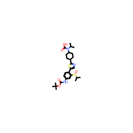 CC(C)N(C(=O)O)C1CCC(c2ncc(-c3ccc(NC(=O)OC(C)(C)C)cc3[S+]([O-])C(C)C)s2)CC1